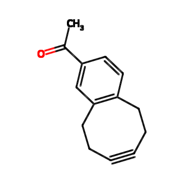 CC(=O)c1ccc2c(c1)CCC#CCC2